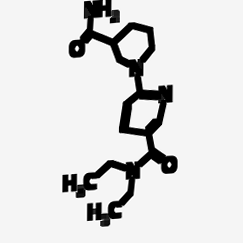 CCN(CC)C(=O)c1ccc(N2CCCC(C(N)=O)C2)nc1